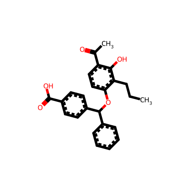 CCCc1c(OC(c2ccccc2)c2ccc(C(=O)O)cc2)ccc(C(C)=O)c1O